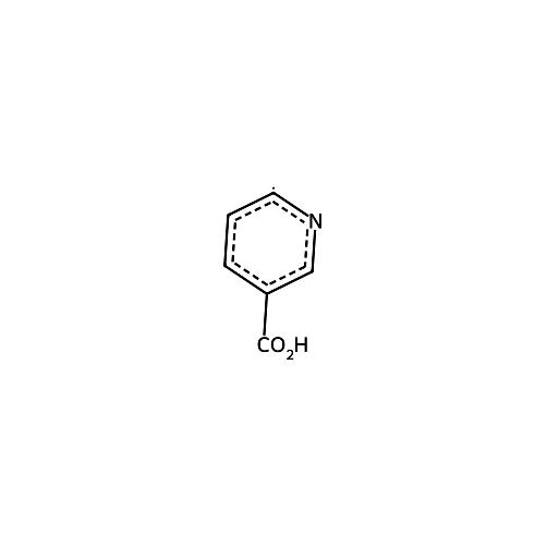 O=C(O)c1cc[c]nc1